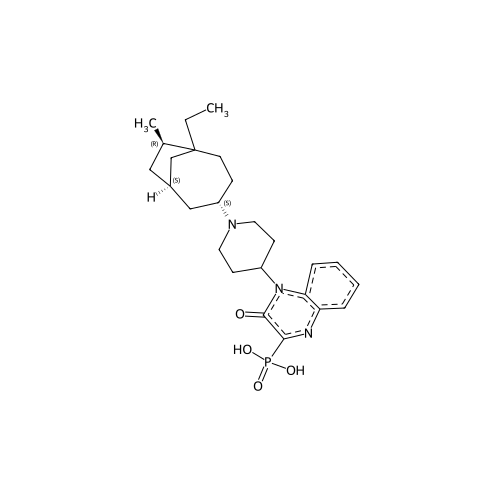 CCC12CC[C@H](N3CCC(n4c(=O)c(P(=O)(O)O)nc5ccccc54)CC3)C[C@@H](C[C@H]1C)C2